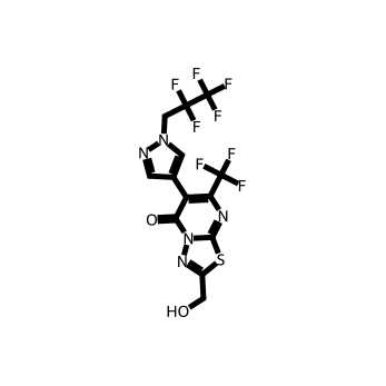 O=c1c(-c2cnn(CC(F)(F)C(F)(F)F)c2)c(C(F)(F)F)nc2sc(CO)nn12